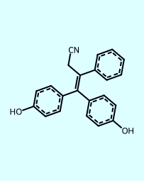 N#CCC(=C(c1ccc(O)cc1)c1ccc(O)cc1)c1ccccc1